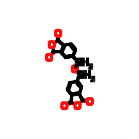 O=C1OC(=O)c2cc([SiH2]O[SiH2]c3ccc4c(c3)C(=O)OC4=O)ccc21